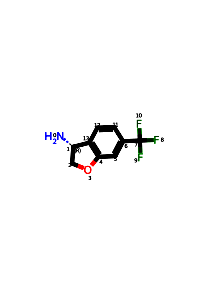 N[C@H]1COc2cc(C(F)(F)F)ccc21